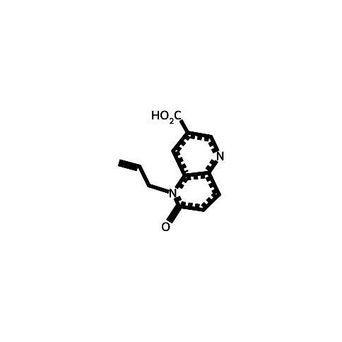 C=CCn1c(=O)ccc2ncc(C(=O)O)cc21